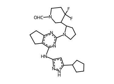 O=CN1CCC(F)(F)C(C2CCCN2c2nc3c(c(Nc4cc(C5CCCC5)[nH]n4)n2)CCC3)C1